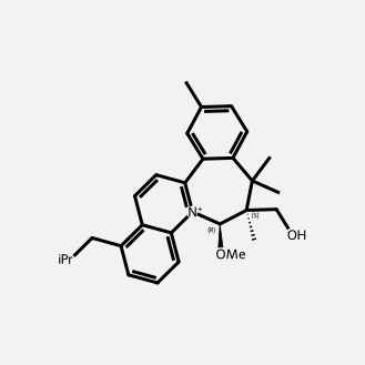 CO[C@H]1[n+]2c(ccc3c(CC(C)C)cccc32)-c2cc(C)ccc2C(C)(C)[C@@]1(C)CO